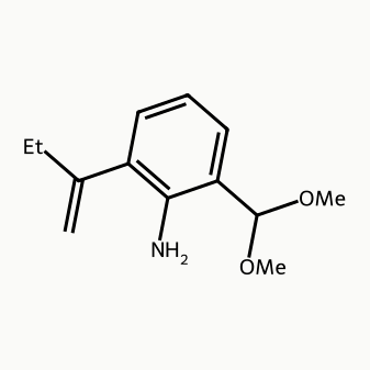 C=C(CC)c1cccc(C(OC)OC)c1N